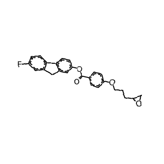 O=C(Oc1ccc2c(c1)Cc1cc(F)ccc1-2)c1ccc(OCCCC2CO2)cc1